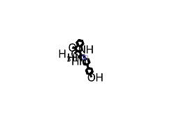 Cc1c(C(=N)/C=C2/C=CC(c3ccc(O)cc3)=CN2)[nH]c2ccccc2c1=O